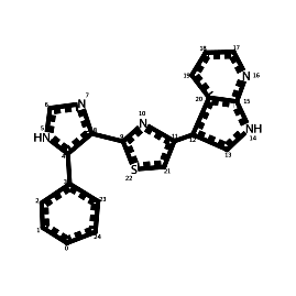 c1ccc(-c2[nH]cnc2-c2nc(-c3c[nH]c4ncccc34)cs2)cc1